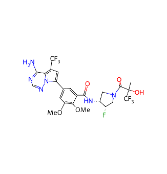 COc1cc(-c2cc(C(F)(F)F)c3c(N)ncnn23)cc(C(=O)N[C@@H]2CN(C(=O)C(C)(O)C(F)(F)F)C[C@@H]2F)c1OC